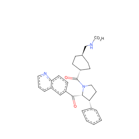 O=C(O)NC[C@H]1CC[C@H](C(=O)N2CC[C@H](c3ccccc3)[C@@H]2C(=O)c2ccc3ncccc3c2)CC1